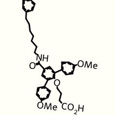 COc1ccc(-c2cc(C(=O)NCCCCCCCc3ccccc3)cc(-c3ccc(OC)cc3)c2OCCCC(=O)O)cc1